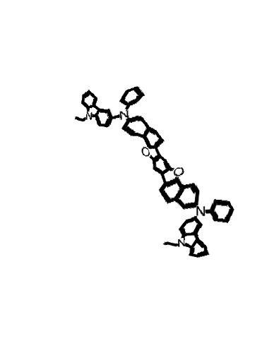 CCn1c2ccccc2c2cc(N(c3ccccc3)c3ccc4c(ccc5c6cc7oc8c9ccc(N(c%10ccccc%10)c%10ccc%11c(c%10)c%10ccccc%10n%11CC)cc9ccc8c7cc6oc45)c3)ccc21